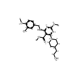 COC(=O)c1c(NCc2ccc(OC)c(Cl)c2)nc(OC)nc1N1CCC(CCO)CC1